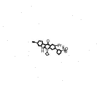 C#Cc1ccc2c(c1)[nH]c1c2c(=O)c2cc(C(C)C)c(-c3cccc(S(=O)(=O)F)c3)cc2n1C1CCC1